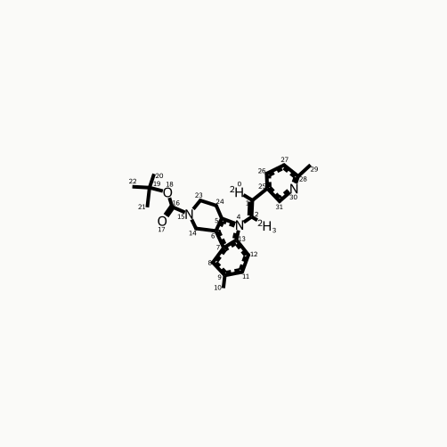 [2H]C(=C([2H])n1c2c(c3cc(C)ccc31)CN(C(=O)OC(C)(C)C)CC2)c1ccc(C)nc1